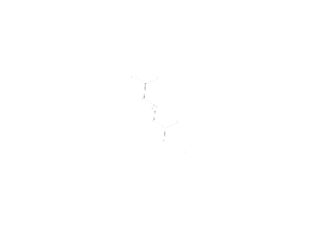 B.CC(C)CNCC(C)C